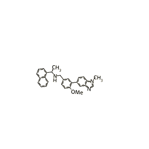 COc1ccc(CN[C@H](C)c2cccc3ccccc23)cc1-c1ccc2c(c1)ncn2C